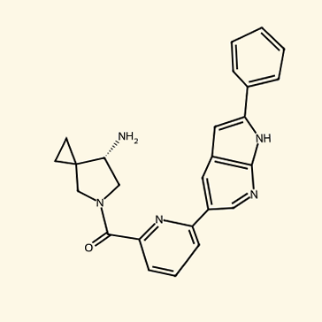 N[C@@H]1CN(C(=O)c2cccc(-c3cnc4[nH]c(-c5ccccc5)cc4c3)n2)CC12CC2